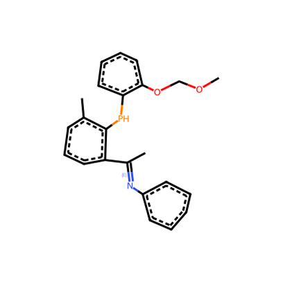 COCOc1ccccc1Pc1c(C)cccc1/C(C)=N/c1ccccc1